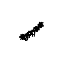 O=C1OC2(CCC(CNc3ccc(-c4ccnnc4)cn3)CC2)CN1c1ccccn1